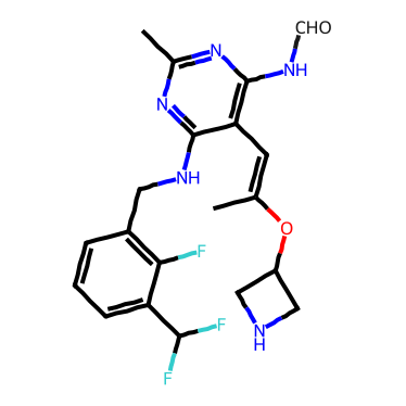 C/C(=C\c1c(NC=O)nc(C)nc1NCc1cccc(C(F)F)c1F)OC1CNC1